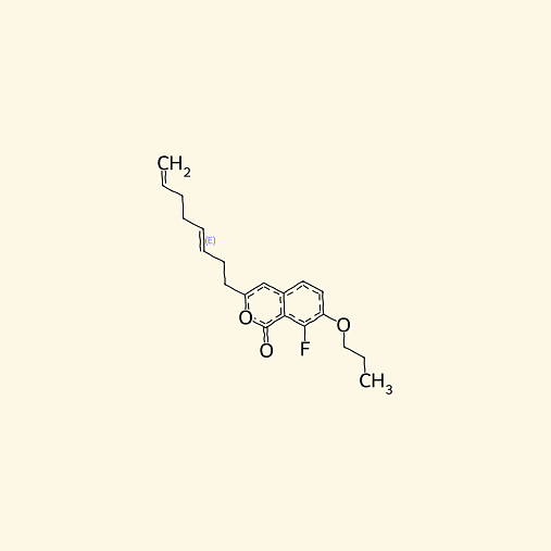 C=CCC/C=C/CCc1cc2ccc(OCCC)c(F)c2c(=O)o1